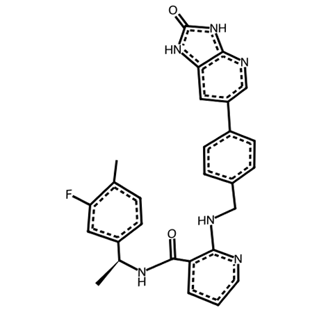 Cc1ccc([C@H](C)NC(=O)c2cccnc2NCc2ccc(-c3cnc4[nH]c(=O)[nH]c4c3)cc2)cc1F